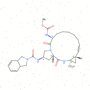 CC(C)(C)OC(=O)N[C@H]1CCCCC/C=C\[C@@H]2C[C@@]2(C(=O)O)NC(=O)[C@@H]2C[C@@H](NC(=O)N3CC4C=CC=CC4C3)CN2C1=O